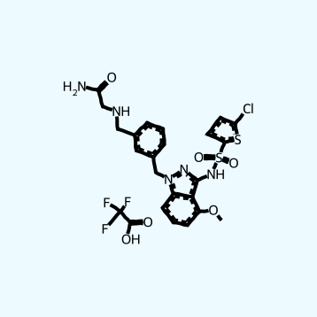 COc1cccc2c1c(NS(=O)(=O)c1ccc(Cl)s1)nn2Cc1cccc(CNCC(N)=O)c1.O=C(O)C(F)(F)F